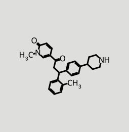 Cc1ccccc1C(CC(=O)c1ccc(=O)n(C)c1)c1ccc(C2CCNCC2)cc1